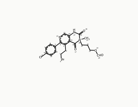 CC(C)CCc1c(-c2ccc(Cl)cc2)ncc2c1C(=O)[N+](C)(CCCOC=O)C(=O)N2